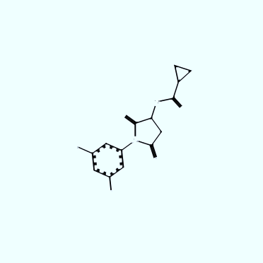 O=C(NC1CC(=O)N(c2cc(Cl)cc(Cl)c2)C1=O)C1CC1